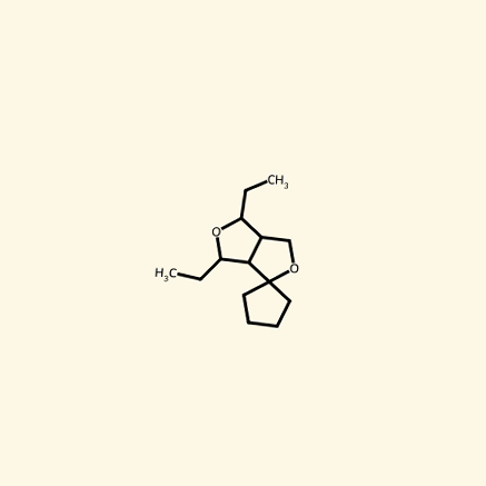 CCC1OC(CC)C2C1COC21CCCC1